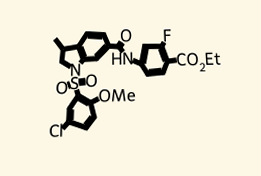 CCOC(=O)c1ccc(NC(=O)c2ccc3c(c2)N(S(=O)(=O)c2cc(Cl)ccc2OC)CC3C)cc1F